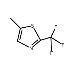 [CH2]c1cnc(C(F)(F)F)s1